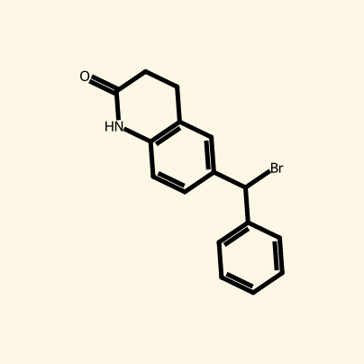 O=C1CCc2cc(C(Br)c3ccccc3)ccc2N1